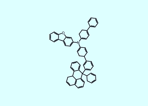 C1=CCC(C2(c3cccc(C4C=CC(N(C5=CC=C(c6ccccc6)CC5)c5ccc6c(c5)oc5ccccc56)=CC4)c3)c3ccccc3C3CC=Cc4cccc2c43)C=C1